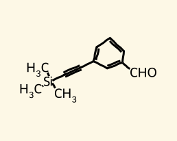 C[Si](C)(C)C#Cc1cccc(C=O)c1